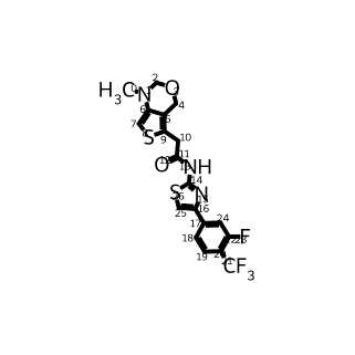 CN1COCc2c1csc2CC(=O)Nc1nc(-c2ccc(C(F)(F)F)c(F)c2)cs1